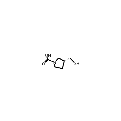 O=C(O)N1CC[C@@H](CS)C1